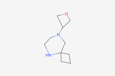 C1CC2(C1)CN(C1COC1)CCN2